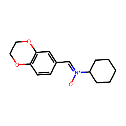 [O-][N+](=Cc1ccc2c(c1)OCCO2)C1CCCCC1